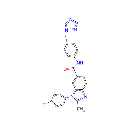 Cc1nc2ccc(C(=O)Nc3ccc(Cn4cncn4)cc3)cc2n1-c1ccc(F)cc1